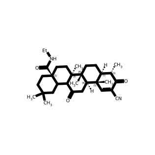 CCNC(=O)[C@]12CCC(C)(C)CC1C1C(=O)C[C@@H]3[C@@]4(C)C=C(C#N)C(=O)[C@@H](C)[C@@H]4CC[C@@]3(C)[C@]1(C)CC2